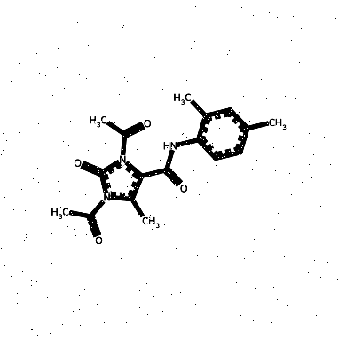 CC(=O)n1c(C)c(C(=O)Nc2ccc(C)cc2C)n(C(C)=O)c1=O